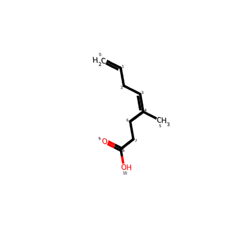 C=CCC=C(C)CCC(=O)O